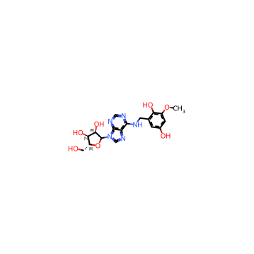 COc1cc(O)cc(CNc2ncnc3c2ncn3C2O[C@H](CO)[C@@H](O)[C@H]2O)c1O